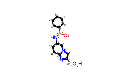 O=C(O)c1cn2cc(N[S+]([O-])c3ccccc3)ccc2n1